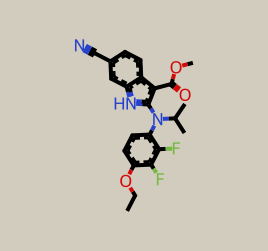 CCOc1ccc(N(c2[nH]c3cc(C#N)ccc3c2C(=O)OC)C(C)C)c(F)c1F